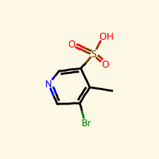 Cc1c(Br)cncc1S(=O)(=O)O